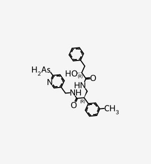 Cc1cccc([C@H](CNC(=O)[C@H](O)Cc2ccccc2)C(=O)NCc2ccc([AsH2])nc2)c1